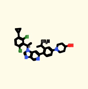 CC(C(=O)O)c1cc(N2CCC(O)CC2)ccc1-c1cc2c(cn1)ncn2[C@H](C)c1c(Cl)ccc(C2CC2)c1Cl